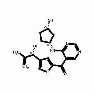 C=C(C)[C@H](O)c1coc(C(=O)c2cncnc2N[C@@H]2C[CH][C@H](O)C2)c1